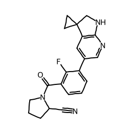 N#CC1CCCN1C(=O)c1cccc(-c2cnc3c(c2)C2(CC2)CN3)c1F